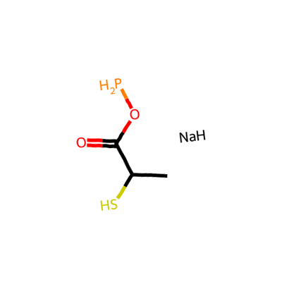 CC(S)C(=O)OP.[NaH]